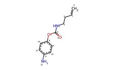 C=CCCNC(=O)Oc1ccc(N)cc1